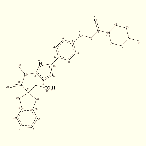 CN1CCN(C(=O)COc2ccc(-c3csc(N(C)C(=O)C4(CC(=O)O)Cc5ccccc5C4)n3)cc2)CC1